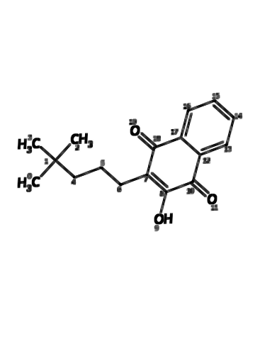 CC(C)(C)CCCC1=C(O)C(=O)c2ccccc2C1=O